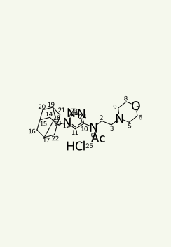 CC(=O)N(CCN1CCOCC1)c1cn(C23CC4CC(CC(C4)C2)C3)nn1.Cl